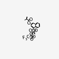 C=C(C)C(=O)Oc1cc(S(=O)(=O)N(C)OS(=O)(=O)C(F)(F)F)c2ccccc2c1